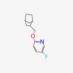 Fc1ccc(OCC2CC3CCC2C3)nc1